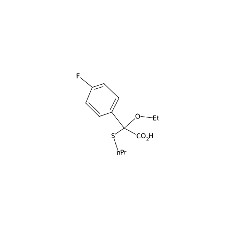 CCCSC(OCC)(C(=O)O)c1ccc(F)cc1